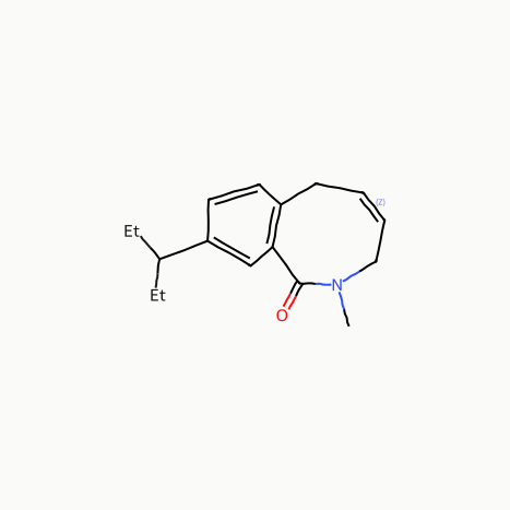 CCC(CC)c1ccc2c(c1)C(=O)N(C)C/C=C\C2